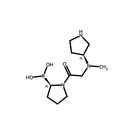 CN(CC(=O)N1CCC[C@H]1B(O)O)[C@H]1CCNC1